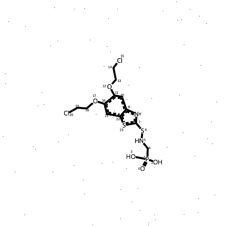 O=P(O)(O)CNSc1nc2cc(OCCCl)c(OCCCl)cc2s1